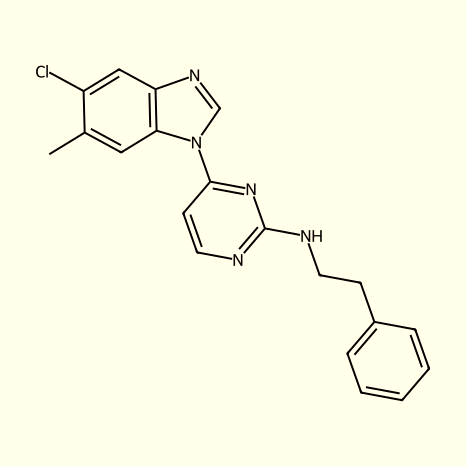 Cc1cc2c(cc1Cl)ncn2-c1ccnc(NCCc2ccccc2)n1